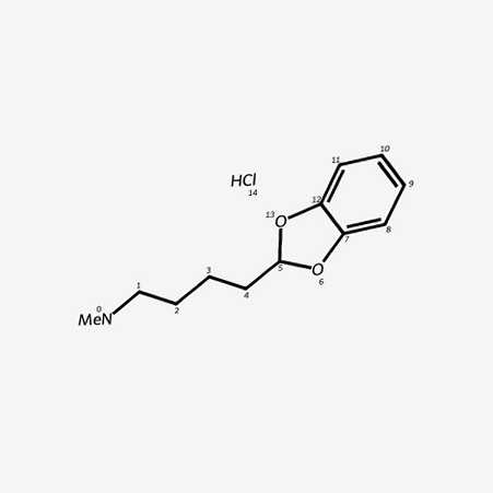 CNCCCCC1Oc2ccccc2O1.Cl